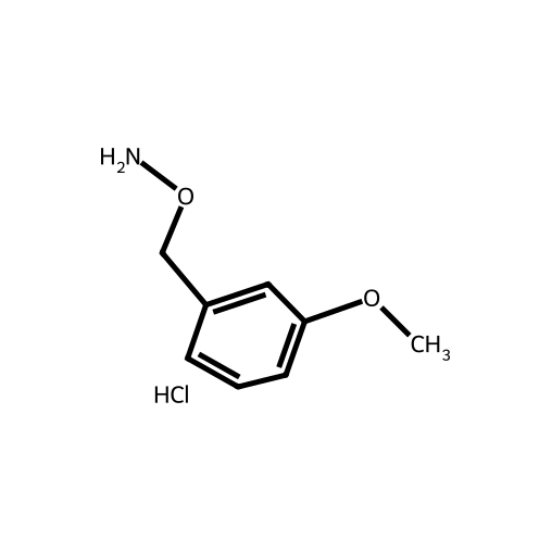 COc1cccc(CON)c1.Cl